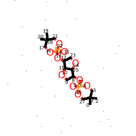 CC1(C)COP(=O)(OC2COC3C(OP4(=O)OCC(C)(C)CO4)COC23)OC1